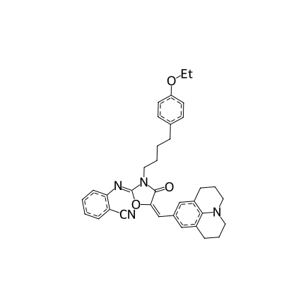 CCOc1ccc(CCCCN2C(=O)/C(=C\c3cc4c5c(c3)CCCN5CCC4)O/C2=N\c2ccccc2C#N)cc1